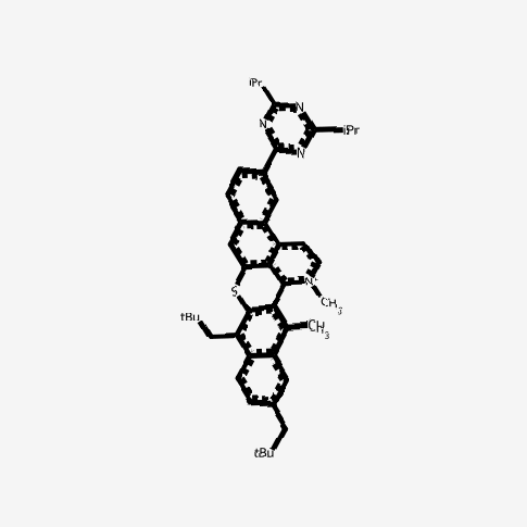 Cc1c2c(c(CC(C)(C)C)c3ccc(CC(C)(C)C)cc13)Sc1cc3ccc(-c4nc(C(C)C)nc(C(C)C)n4)cc3c3cc[n+](C)c-2c13